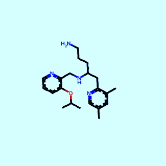 Cc1cnc(CC(CCCN)NCc2ncccc2OC(C)C)c(C)c1